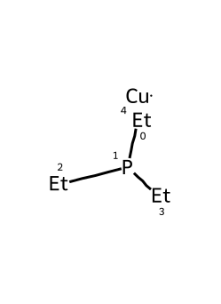 CCP(CC)CC.[Cu]